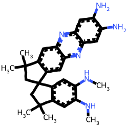 CNc1cc2c(cc1NC)C1(CC2(C)C)CC(C)(C)c2cc3nc4cc(N)c(N)cc4nc3cc21